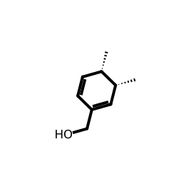 C[C@@H]1C=C(CO)C=C[C@@H]1C